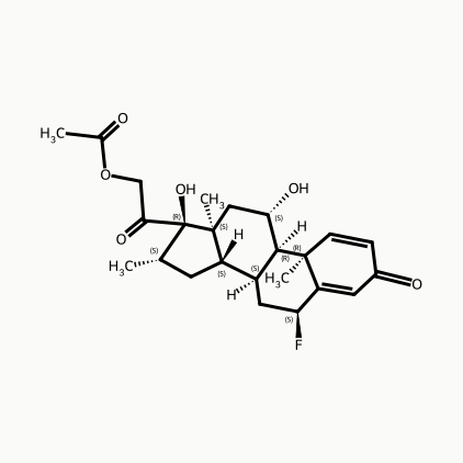 CC(=O)OCC(=O)[C@@]1(O)[C@@H](C)C[C@H]2[C@@H]3C[C@H](F)C4=CC(=O)C=C[C@]4(C)[C@@H]3[C@@H](O)C[C@@]21C